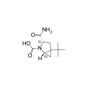 CC(C)(C)C12C[C@@H]1N(C(=O)O)[C@H](C(N)=O)C2